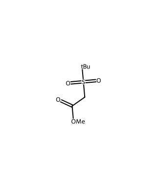 COC(=O)CS(=O)(=O)C(C)(C)C